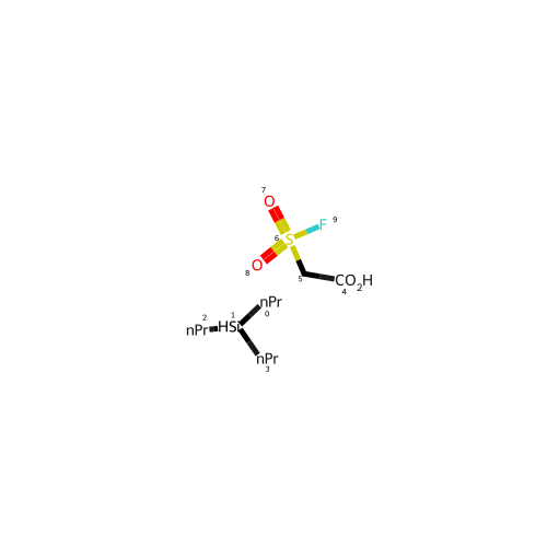 CCC[SiH](CCC)CCC.O=C(O)CS(=O)(=O)F